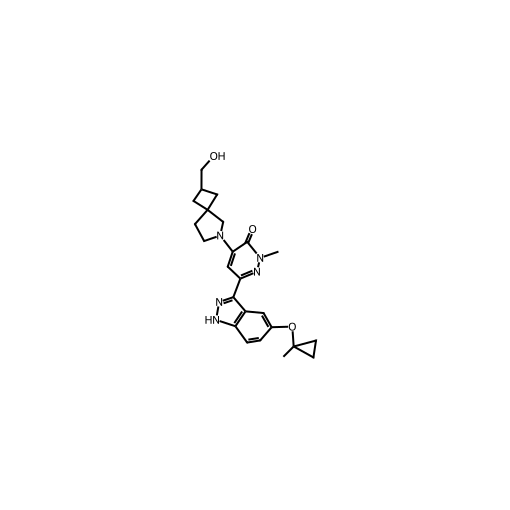 Cn1nc(-c2n[nH]c3ccc(OC4(C)CC4)cc23)cc(N2CCC3(CC(CO)C3)C2)c1=O